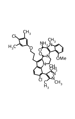 COc1cccc2c1c(N1C[C@@H](C)n3c(c(CCCOc4cc(C)c(Cl)c(C)c4)c4ccc(Cl)c(-c5c(C)nn(C)c5C)c43)C1=O)c(C(N)=O)n2C